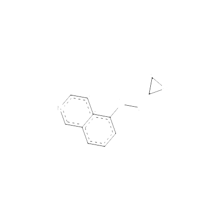 c1cc(OC[C@@H]2CO2)c2ccncc2c1